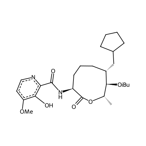 COc1ccnc(C(=O)N[C@H]2CCC[C@H](CC3CCCC3)[C@@H](OCC(C)C)[C@H](C)OC2=O)c1O